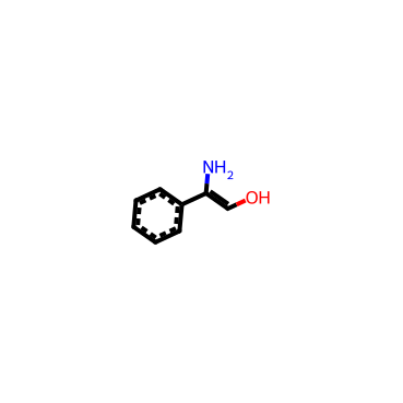 NC(=CO)c1ccccc1